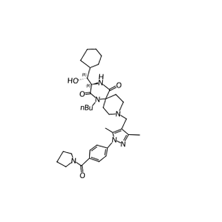 CCCCN1C(=O)[C@@H]([C@H](O)C2CCCCC2)NC(=O)C12CCN(Cc1c(C)nn(-c3ccc(C(=O)N4CCCC4)cc3)c1C)CC2